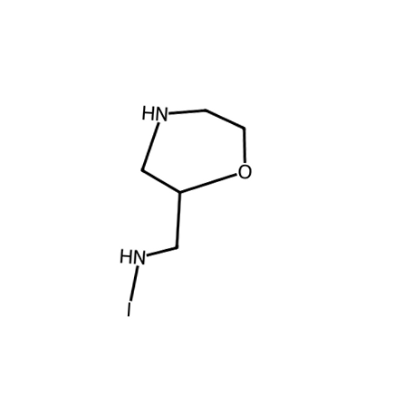 INCC1CNCCO1